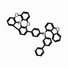 c1ccc(-c2cccc(N(c3ccc(-c4ccc5c6cccc7c6n6c5c4Oc4cccc(c4-6)O7)cc3)c3cccc4oc5ccccc5c34)c2)cc1